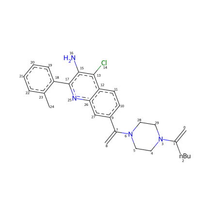 C=C(CCCC)N1CCN(C(=C)c2ccc3c(Cl)c(N)c(-c4ccccc4C)nc3c2)CC1